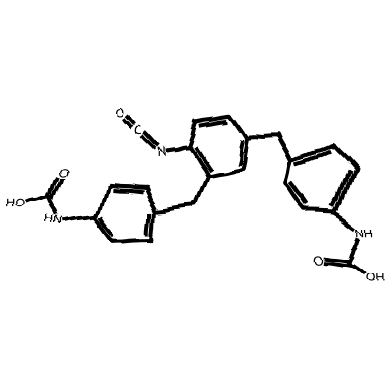 O=C=Nc1ccc(Cc2ccc(NC(=O)O)cc2)cc1Cc1ccc(NC(=O)O)cc1